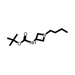 CCCCN1CC(NC(=O)OC(C)(C)C)C1